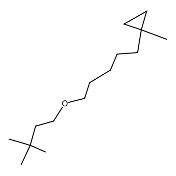 CC(C)(C)CCOCCCCCC1(C)CC1